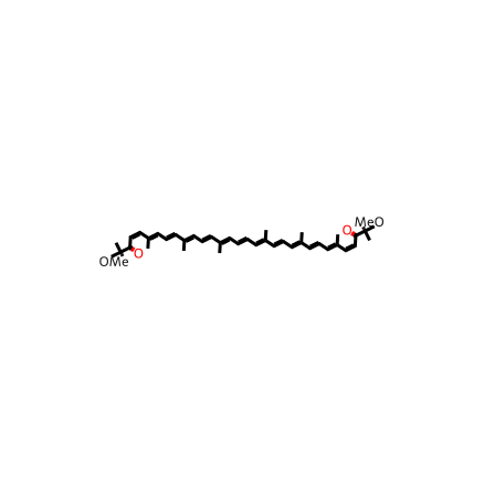 COC(C)(C)C(=O)\C=C/C(C)=C/C=C/C(C)=C/C=C/C(C)=C/C=C/C=C(C)/C=C/C=C(C)/C=C/C=C(C)/C=C\C(=O)C(C)(C)OC